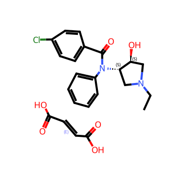 CCN1C[C@H](O)[C@@H](N(C(=O)c2ccc(Cl)cc2)c2ccccc2)C1.O=C(O)/C=C/C(=O)O